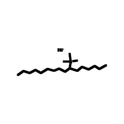 CCCCCCCCCC(CCCCCC)[N+](C)(C)C.[OH-]